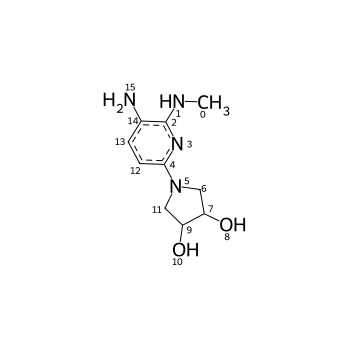 CNc1nc(N2CC(O)C(O)C2)ccc1N